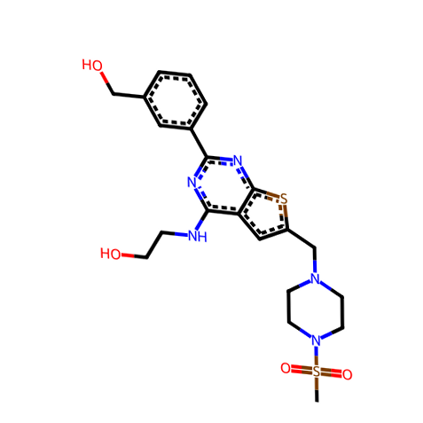 CS(=O)(=O)N1CCN(Cc2cc3c(NCCO)nc(-c4cccc(CO)c4)nc3s2)CC1